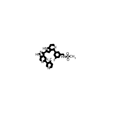 Cc1ccncc1-c1cc2c(-c3cc4c(-c5cc(F)cc(CNS(C)(=O)=O)c5)nccc4[nH]3)n[nH]c2cn1